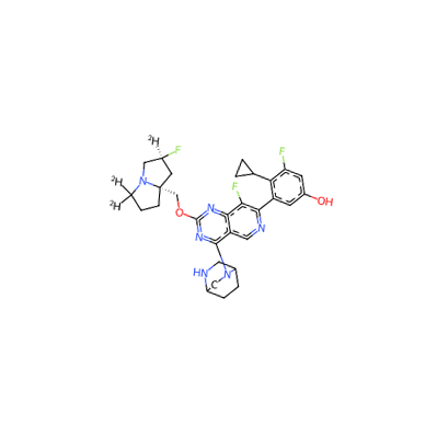 [2H]C1([2H])CC[C@]2(COc3nc(N4CC5CCC4CN5)c4cnc(-c5cc(O)cc(F)c5C5CC5)c(F)c4n3)C[C@]([2H])(F)CN12